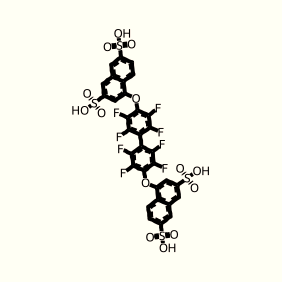 O=S(=O)(O)c1ccc2c(Oc3c(F)c(F)c(-c4c(F)c(F)c(Oc5cc(S(=O)(=O)O)cc6cc(S(=O)(=O)O)ccc56)c(F)c4F)c(F)c3F)cc(S(=O)(=O)O)cc2c1